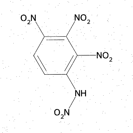 O=[N+]([O-])Nc1ccc([N+](=O)[O-])c([N+](=O)[O-])c1[N+](=O)[O-]